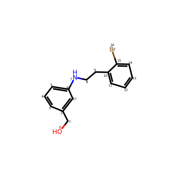 OCc1cccc(NCCc2ccccc2Br)c1